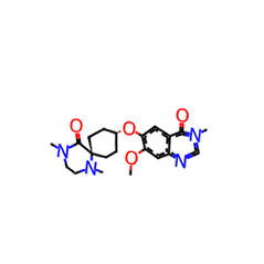 COc1cc2ncn(C)c(=O)c2cc1O[C@H]1CC[C@]2(CC1)C(=O)N(C)CCN2C